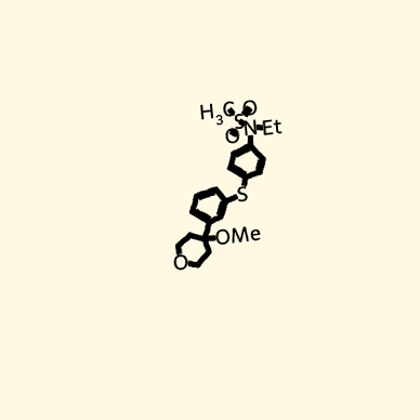 CCN(c1ccc(Sc2cccc(C3(OC)CCOCC3)c2)cc1)S(C)(=O)=O